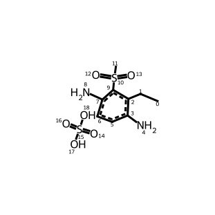 CCc1c(N)ccc(N)c1S(C)(=O)=O.O=S(=O)(O)O